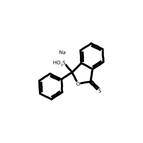 O=S(=O)(O)C1(c2ccccc2)OC(=S)c2ccccc21.[Na]